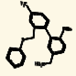 COc1ccc(CC(=O)O)cc1-c1ccc(C(F)(F)F)cc1CSc1ccccc1